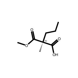 CCC[C@@](C)(C(=O)O)C(=O)OC